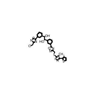 Cn1c(SCc2noc(-c3cccc(C(O)C(O)c4cccc(-c5nc(CCl)no5)c4)c3)n2)nnc1-c1cccs1